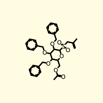 C=C(C)CS(=O)(=O)C1OC(COC(C)=O)C(OCc2ccccc2)C(OCc2ccccc2)C1OCc1ccccc1